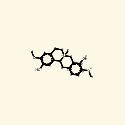 COc1cc2c(cc1O)C1Cc3ccc(OC)c(O)c3C[N+]1(C)CC2